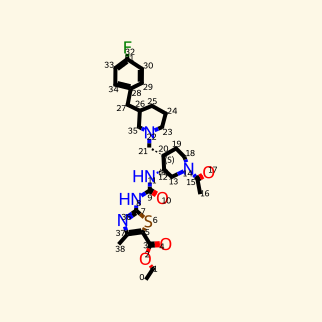 CCOC(=O)c1sc(NC(=O)N[C@H]2CN(C(C)=O)CC[C@H]2CN2CCCC(Cc3ccc(F)cc3)C2)nc1C